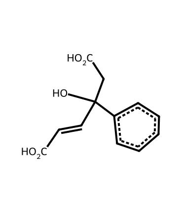 O=C(O)C=CC(O)(CC(=O)O)c1ccccc1